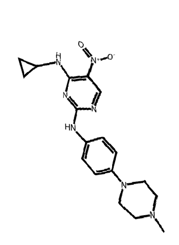 CN1CCN(c2ccc(Nc3ncc([N+](=O)[O-])c(NC4CC4)n3)cc2)CC1